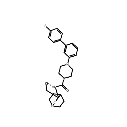 CCC1(NC(=O)N2CCN(c3cccc(-c4ccc(F)cc4)c3)CC2)CN2CCC1CC2